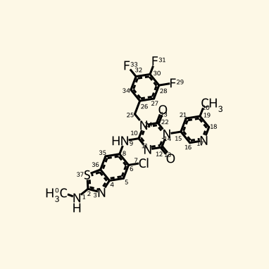 CNc1nc2cc(Cl)c(Nc3nc(=O)n(-c4cncc(C)c4)c(=O)n3Cc3cc(F)c(F)c(F)c3)cc2s1